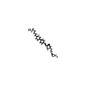 CCCCCc1ccc(C#Cc2ccc(C3CCC(CCCCC)CC3)cc2)nc1